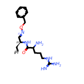 CC(C)C[C@@H](/C=N/OCc1ccccc1)NC(=O)C(N)CCCNC(=N)N